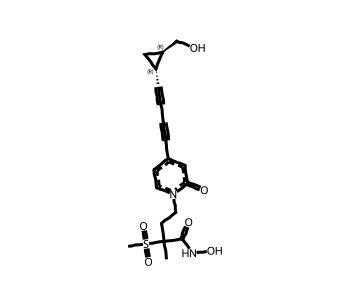 CC(CCn1ccc(C#CC#C[C@@H]2C[C@H]2CO)cc1=O)(C(=O)NO)S(C)(=O)=O